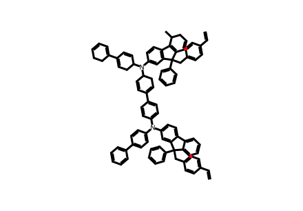 C=Cc1ccc(CC2(c3ccccc3)C3=C(c4ccc(N(C5C=CC(C6=CC=CCC6)=CC5)C5C=CC(c6ccc(N(c7ccc(-c8ccccc8)cc7)c7ccc8c(c7)C(Cc7ccc(C=C)cc7)(c7ccccc7)c7ccccc7-8)cc6)=CC5)cc42)C(C)CC=C3)cc1